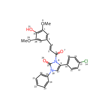 COc1cc(C=CC(=O)n2c(-c3ccc(Cl)cc3)cn(-c3ccccc3)c2=O)cc(OC)c1O